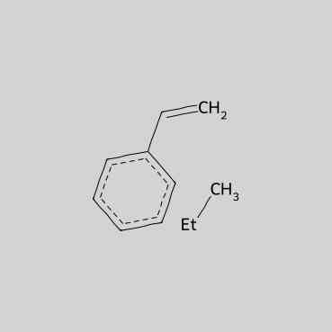 C=Cc1ccccc1.CCC